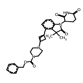 CC1(C)C(=O)N(C2CCC(=O)NC2=O)c2cccc(C34CC(N5CCN(C(=O)OCc6ccccc6)CC5)(C3)C4)c21